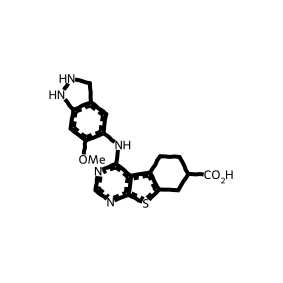 COc1cc2c(cc1Nc1ncnc3sc4c(c13)CCC(C(=O)O)C4)CNN2